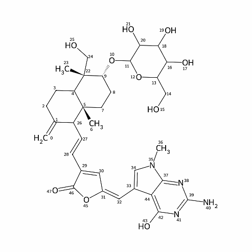 C=C1CCC2[C@](C)(CC[C@@H](OC3OC(CO)C(O)C(O)C3O)[C@@]2(C)CO)C1/C=C/C1=CC(=C\c2cn(C)c3nc(N)nc(O)c23)/OC1=O